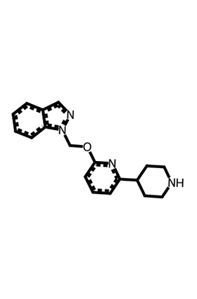 c1cc(OCn2ncc3ccccc32)nc(C2CCNCC2)c1